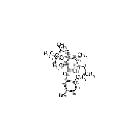 CC[C@H]1O[C@H](Oc2cc(Br)ccc2C)[C@@](C)(OC(C)=O)[C@@H](OC(C)=O)[C@@H]1C